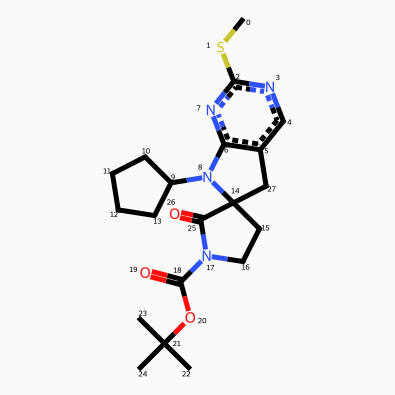 CSc1ncc2c(n1)N(C1CCCC1)C1(CCN(C(=O)OC(C)(C)C)C1=O)C2